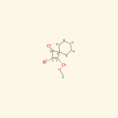 CCOC1=C(Br)C(=O)C12CCCCC2